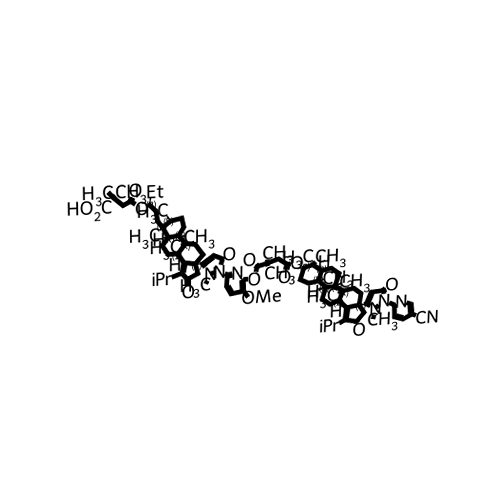 CC[C@H](CC[C@@]1(C)[C@H](C)CC[C@]2(C)[C@@H]1CC[C@@H]1C3=C(C(C)C)C(=O)C[C@]3(c3cc(=O)n(-c4ccc(OC)c(OC(=O)C(C)(C)CC(=O)O[C@H]5CC[C@]6(C)[C@H]7CC[C@@H]8C9=C(C(C)C)C(=O)C[C@]9(c9cc(=O)n(-c%10ccc(C#N)cn%10)n9C)CC[C@@]8(C)[C@]7(C)CC[C@H]6C5(C)C)n4)n3C)CC[C@]12C)OC(=O)CC(C)(C)C(=O)O